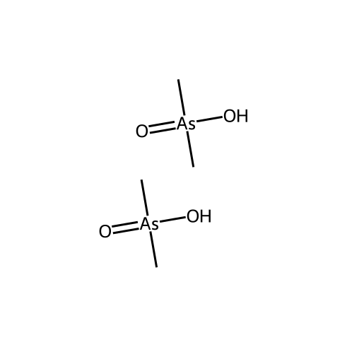 C[As](C)(=O)O.C[As](C)(=O)O